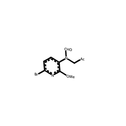 COc1nc(Br)ccc1N(C=O)CC(C)=O